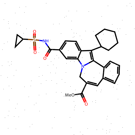 COC(=O)C1=Cc2ccccc2-c2c(C3CCCCC3)c3ccc(C(=O)NS(=O)(=O)C4CC4)cc3n2C1